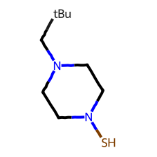 CC(C)(C)CN1CCN(S)CC1